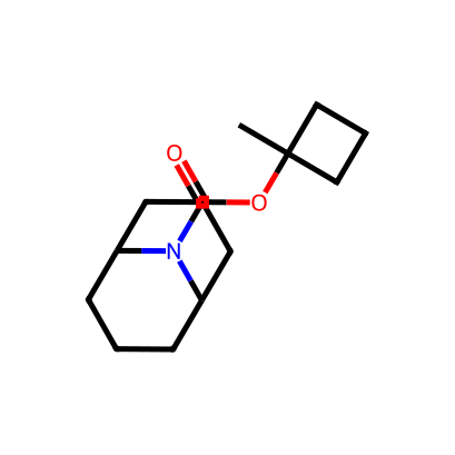 CC1(OC(=O)N2C3CCCC2CCC3)CCC1